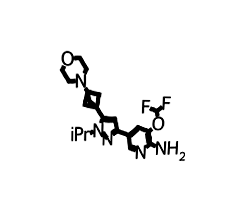 CC(C)n1nc(-c2cnc(N)c(OC(F)F)c2)cc1C12CC(N3CCOCC3)(C1)C2